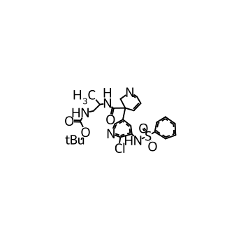 CC(CNC(=O)OC(C)(C)C)NC(=O)C1(c2cnc(Cl)c(NS(=O)(=O)c3ccccc3)c2)C=CC=NC1